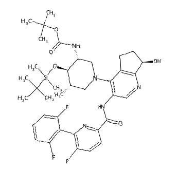 C[C@H]1CN(c2c(NC(=O)c3ccc(F)c(-c4c(F)cccc4F)n3)cnc3c2CC[C@H]3O)C[C@@H](NC(=O)OC(C)(C)C)[C@@H]1O[Si](C)(C)C(C)(C)C